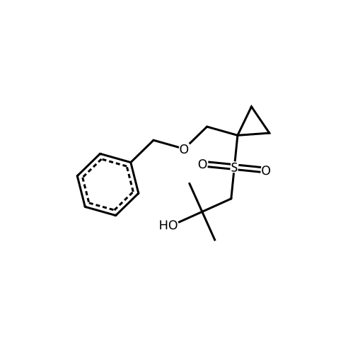 CC(C)(O)CS(=O)(=O)C1(COCc2ccccc2)CC1